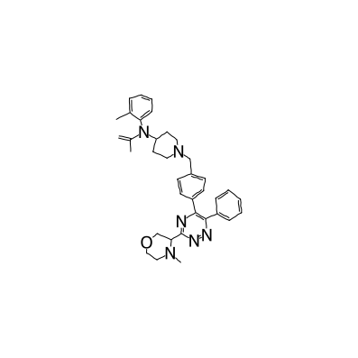 C=C(C)N(c1ccccc1C)C1CCN(Cc2ccc(-c3nc(C4COCCN4C)nnc3-c3ccccc3)cc2)CC1